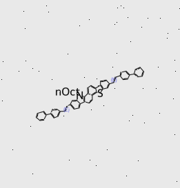 CCCCCCCCn1c2cc(/C=C/c3ccc(-c4ccccc4)cc3)ccc2c2ccc3c(ccc4c5ccc(/C=C/c6ccc(-c7ccccc7)cc6)cc5sc43)c21